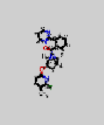 C[C@@H]1[C@H]2C[C@@H](Oc3ccc(C(F)(F)F)c(F)n3)[C@H](C2)N1C(=O)c1ccccc1-c1ncccn1